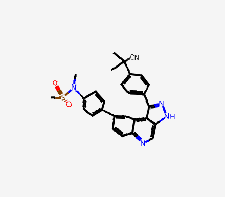 CN(c1ccc(-c2ccc3ncc4[nH]nc(-c5ccc(C(C)(C)C#N)cc5)c4c3c2)cc1)S(C)(=O)=O